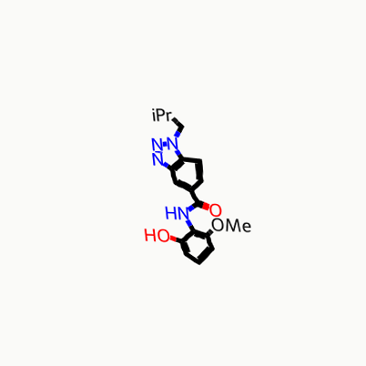 COc1cccc(O)c1NC(=O)c1ccc2c(c1)nnn2CC(C)C